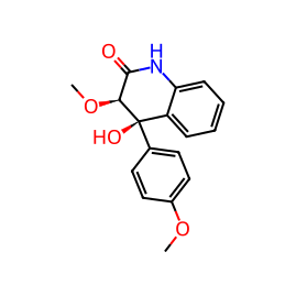 COc1ccc([C@@]2(O)c3ccccc3NC(=O)[C@@H]2OC)cc1